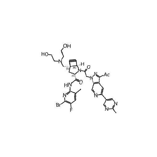 CC(=O)c1nn(CC(=O)N2[C@H](C(=O)Nc3nc(Br)c(F)cc3C)C[C@@]3(CN(CCO)CCO)C#C[C@@H]23)c2cnc(-c3cnc(C)nc3)cc12